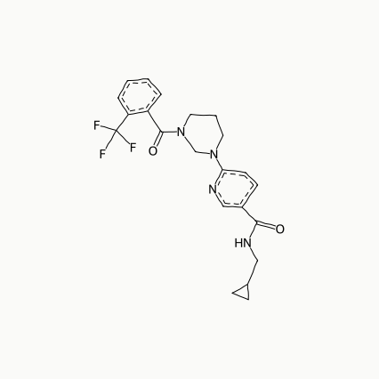 O=C(NCC1CC1)c1ccc(N2CCCN(C(=O)c3ccccc3C(F)(F)F)C2)nc1